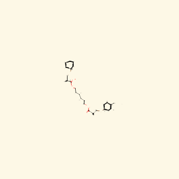 C=C(CSc1ccccc1)C(=O)OCCCCCCOC(=O)C(=C)CSc1ccc(C)cc1